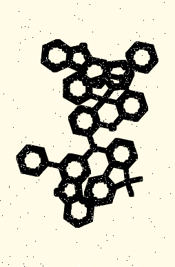 CC1(C)c2ccccc2-c2c(N(c3cc(-c4ccccc4)c4oc5ccccc5c4c3)c3cccc4c3Oc3cccc(N(c5ccccc5)c5ccc6c(c5)oc5ccccc56)c3C43c4ccccc4-c4ccccc43)cccc21